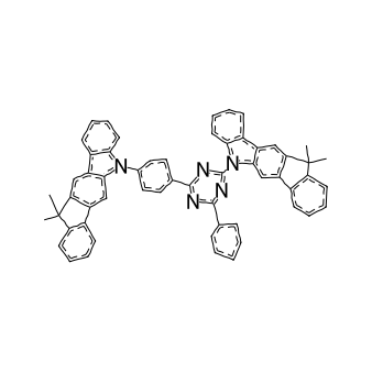 CC1(C)c2ccccc2-c2cc3c(cc21)c1ccccc1n3-c1ccc(-c2nc(-c3ccccc3)nc(-n3c4ccccc4c4cc5c(cc43)-c3ccccc3C5(C)C)n2)cc1